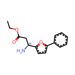 CCOC(=O)C[C@H](N)c1ccc(-c2ccccc2)o1